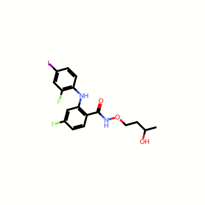 CC(O)CCONC(=O)c1ccc(F)cc1Nc1ccc(I)cc1F